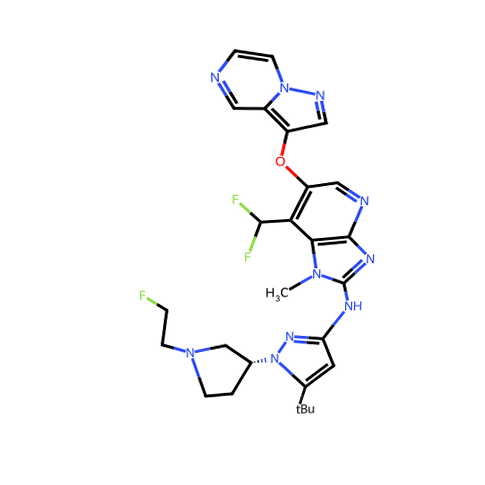 Cn1c(Nc2cc(C(C)(C)C)n([C@@H]3CCN(CCF)C3)n2)nc2ncc(Oc3cnn4ccncc34)c(C(F)F)c21